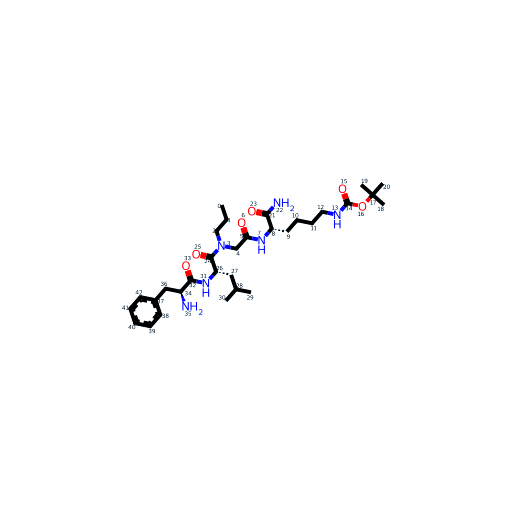 CCCN(CC(=O)N[C@@H](CCCCNC(=O)OC(C)(C)C)C(N)=O)C(=O)[C@H](CC(C)C)NC(=O)[C@@H](N)Cc1ccccc1